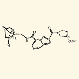 CO[C@H]1CCN(C(=O)c2cn3c(C(=O)NC[C@@H]4CC[C@H]5C[C@@H]4C5(C)C)cccc3n2)C1